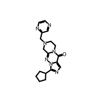 O=c1c2cnc(C3CCCC3)n2nc2n1CCN(Cc1cnccn1)C2